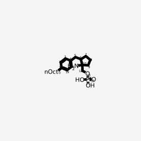 CCCCCCCCc1ccc(CC2CCCC2(N)COP(=O)(O)O)cc1